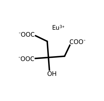 O=C([O-])CC(O)(CC(=O)[O-])C(=O)[O-].[Eu+3]